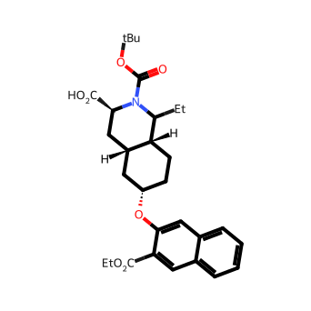 CCOC(=O)c1cc2ccccc2cc1O[C@H]1CC[C@H]2C(CC)N(C(=O)OC(C)(C)C)[C@H](C(=O)O)C[C@H]2C1